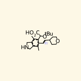 Cc1c(/C=C/C2CCOCC2)c(C(OC(C)(C)C)C(=O)O)c(C)c2c1CNC2